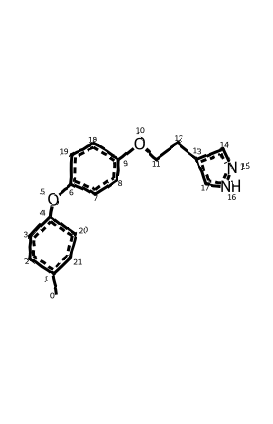 Cc1ccc(Oc2ccc(OCCc3cn[nH]c3)cc2)cc1